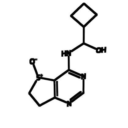 [O-][S+]1CCc2ncnc(NC(O)C3CCC3)c21